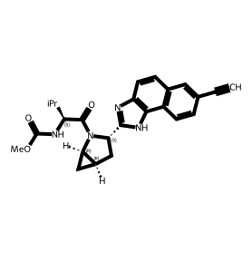 C#Cc1ccc2c(ccc3nc([C@@H]4C[C@H]5C[C@H]5N4C(=O)[C@@H](NC(=O)OC)C(C)C)[nH]c32)c1